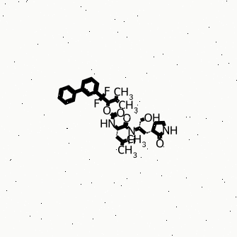 CC(C)C[C@H](NC(=O)OC(C(C)C)C(F)(F)c1cccc(-c2ccccc2)c1)C(=O)N[C@H](CO)C[C@@H]1CCNC1=O